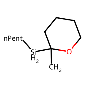 CCCCC[SiH2]C1(C)CCCCO1